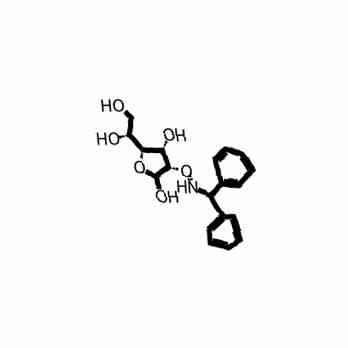 OC[C@@H](O)[C@H]1OC(O)[C@@H](ONC(c2ccccc2)c2ccccc2)[C@H]1O